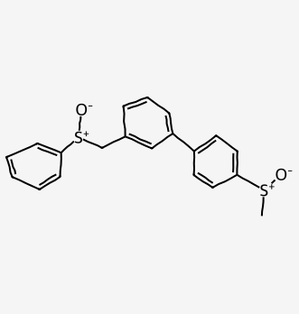 C[S+]([O-])c1ccc(-c2cccc(C[S+]([O-])c3ccccc3)c2)cc1